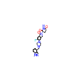 Cn1ncc2c(CN3CCN(c4cc5c(cc4F)C(=O)N(C4CCC(=O)NC4=O)C5)CC3)cccc21